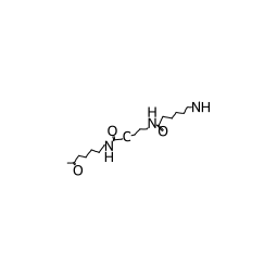 CNCCCCCC(=O)NCCCCCC(=O)NCCCCCC(C)=O